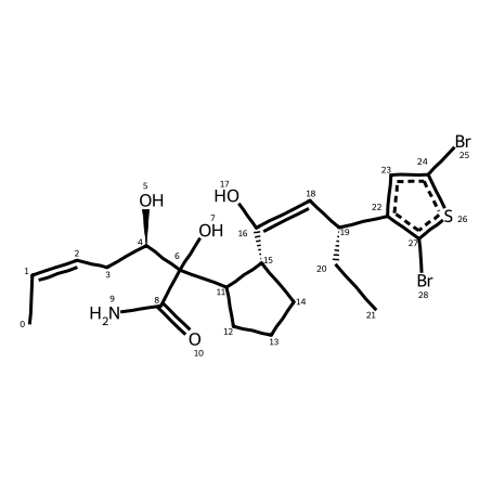 C/C=C\C[C@@H](O)C(O)(C(N)=O)C1CCC[C@H]1/C(O)=C\[C@@H](CC)c1cc(Br)sc1Br